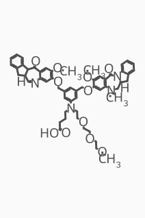 COCCOCCOCCN(CCCC(=O)O)c1cc(COc2cc3c(cc2OC)C(=O)C2c4ccccc4C[C@H]2C=N3)cc(COc2cc3c(cc2OC)C(=O)N2c4ccccc4C[C@H]2CN3C)c1